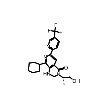 C[C@@H](CO)N1CNc2c(cc(-c3ccc(C(F)(F)F)cn3)nc2C2CCCCC2)C1=O